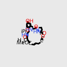 CO[C@@H]1CC/C=C/CCCCOC(=O)[C@@H]2CCCN(N2)C(=O)[C@H](Cc2cccc(O)c2)NC(=O)[C@H](C(C)C)NC(=O)[C@@H]1C